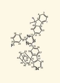 CC1(C)c2ccccc2-c2ccc(-c3nc(-c4cccc(F)c4)nc(-c4ccc5c(c4)C4(c6cnccc6-5)C5CC6CC(C5)CC4C6)n3)cc21